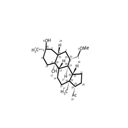 COC[C@H]1C[C@H]2C[C@](C)(O)CC[C@]2(C)[C@H]2CC[C@]3(C)[C@@H](C(C)=O)CC[C@H]3[C@H]12